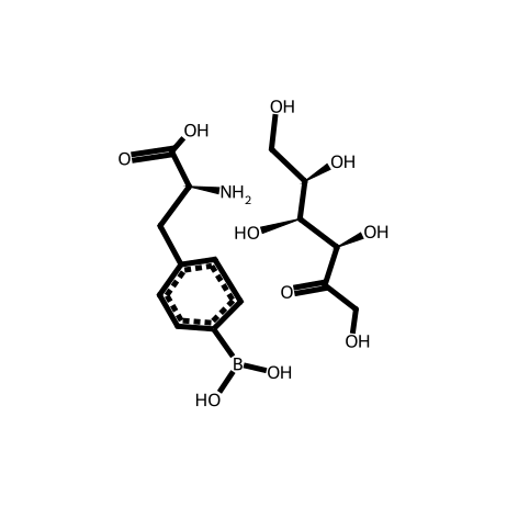 N[C@@H](Cc1ccc(B(O)O)cc1)C(=O)O.O=C(CO)[C@H](O)[C@@H](O)[C@H](O)CO